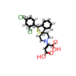 O=C(O)C=C(C(=O)O)N1CCC2(CC1)SC(c1ccc(Cl)cc1Cl)c1ccccc12